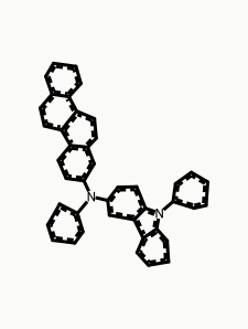 c1ccc(N(c2ccc3c(ccc4c5ccccc5ccc34)c2)c2ccc3c(c2)c2ccccc2n3-c2ccccc2)cc1